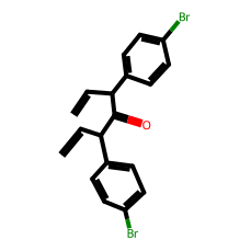 C=CC(C(=O)C(C=C)c1ccc(Br)cc1)c1ccc(Br)cc1